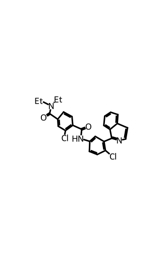 CCN(CC)C(=O)c1ccc(C(=O)Nc2ccc(Cl)c(-c3nccc4ccccc34)c2)c(Cl)c1